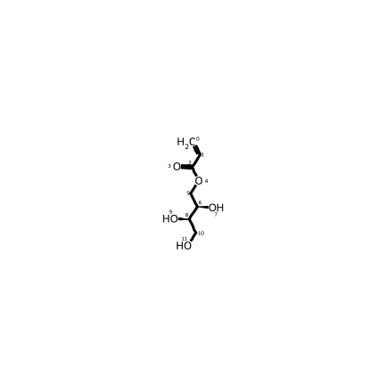 C=CC(=O)OC[C@@H](O)[C@H](O)CO